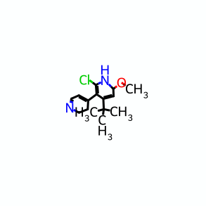 COC1C=C(C(C)(C)C)C(C2=CC=NCC2)=C(Cl)N1